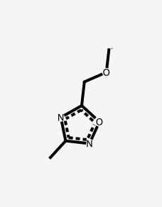 [CH2]OCc1nc(C)no1